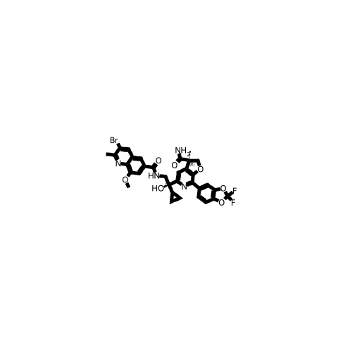 COc1cc(C(=O)NC[C@](O)(c2cc3c(c(-c4ccc5c(c4)OC(F)(F)O5)n2)OC[C@]3(C)C(N)=O)C2CC2)cc2cc(Br)c(C)nc12